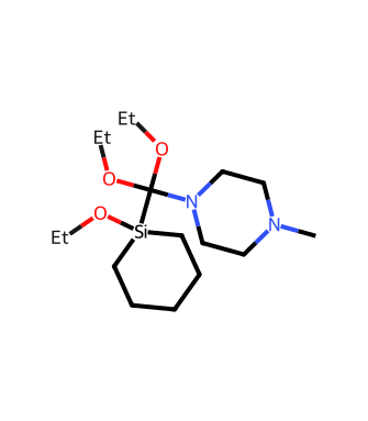 CCOC(OCC)(N1CCN(C)CC1)[Si]1(OCC)CCCCC1